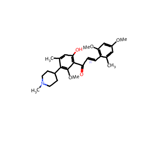 COc1cc(C)c(/C=C/C(=O)c2c(O)cc(C)c(C3CCN(C)CC3)c2OC)c(OC)c1